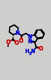 COC(=O)[C@@H]1CCCCN1C(=O)Cn1nc(C(N)=O)c2ccccc21